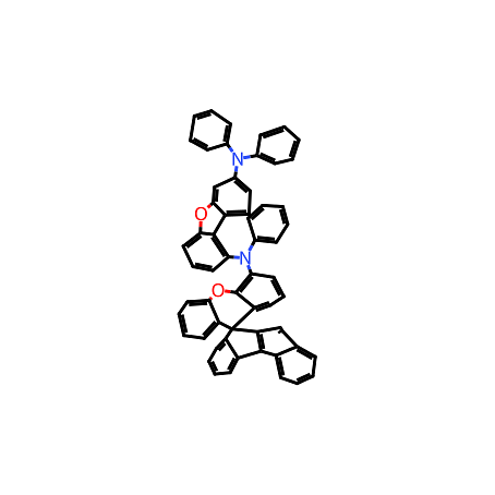 c1ccc(N(c2ccccc2)c2ccc3c(c2)oc2cccc(N(c4ccccc4)c4cccc5c4Oc4ccccc4C54c5ccccc5-c5c4ccc4ccccc54)c23)cc1